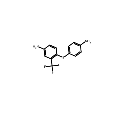 Nc1ccc(Sc2ccc(N)cc2C(F)(F)F)cc1